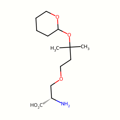 CC(C)(CCOC[C@H](N)C(=O)O)OC1CCCCO1